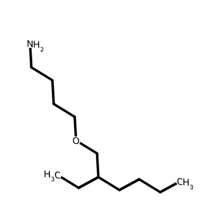 CCCCC(CC)COCCCCN